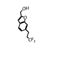 OCc1cc2ccc(CCC(F)(F)F)cc2o1